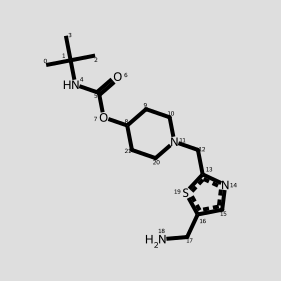 CC(C)(C)NC(=O)OC1CCN(Cc2ncc(CN)s2)CC1